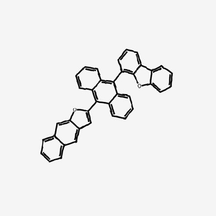 c1ccc2cc3oc(-c4c5ccccc5c(-c5cccc6c5oc5ccccc56)c5ccccc45)cc3cc2c1